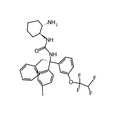 N[C@H]1CCCC[C@@H]1NC(=O)N[C@@](Cc1ccccc1)(c1cccc(OC(F)(F)C(F)F)c1)c1ccc(I)cn1